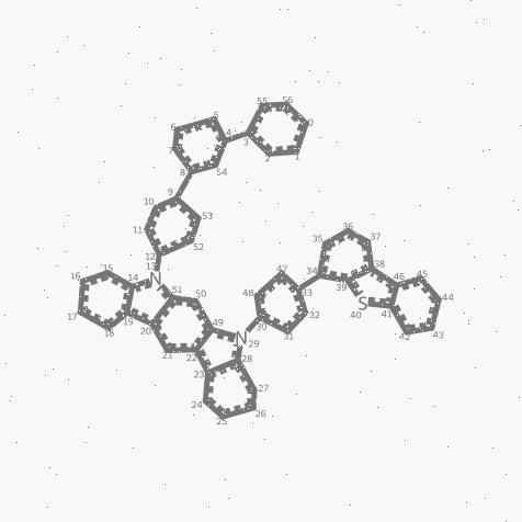 c1ccc(-c2cccc(-c3ccc(-n4c5ccccc5c5cc6c7ccccc7n(-c7ccc(-c8cccc9c8sc8ccccc89)cc7)c6cc54)cc3)c2)cc1